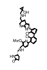 COc1nc(-c2cccc(-c3cccc(-n4cc5cc(CNCC6(O)CC6)cnc5n4)c3Cl)c2Cl)ccc1CNC[C@@H]1CCC(=O)N1